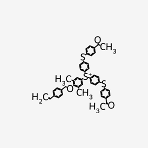 C=Cc1ccc(COc2c(C)cc([S+](c3ccc(Sc4ccc(C(C)=O)cc4)cc3)c3ccc(Sc4ccc(C(C)=O)cc4)cc3)cc2C)cc1